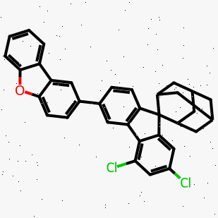 Clc1cc(Cl)c2c(c1)C1(c3ccc(-c4ccc5oc6ccccc6c5c4)cc3-2)C2CC3CC(C2)CC1C3